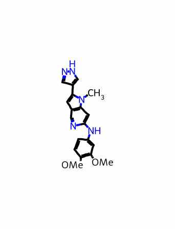 COc1ccc(Nc2cc3c(cn2)cc(-c2cn[nH]c2)n3C)cc1OC